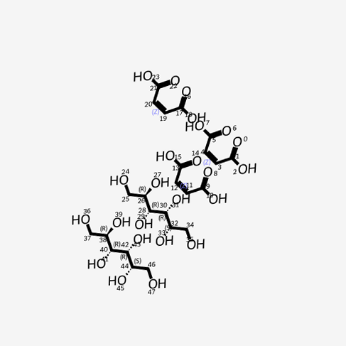 O=C(O)/C=C\C(=O)O.O=C(O)/C=C\C(=O)O.O=C(O)/C=C\C(=O)O.OC[C@@H](O)[C@@H](O)[C@H](O)[C@@H](O)CO.OC[C@@H](O)[C@@H](O)[C@H](O)[C@@H](O)CO